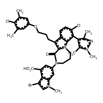 Cc1cc(OCCCc2c3n(c4c(-c5c(C)nn(C)c5C)c(Cl)ccc24)CCCN(c2cc(C(=O)O)c4c(Br)cn(C)c4c2)C3=O)cc(C)c1Cl